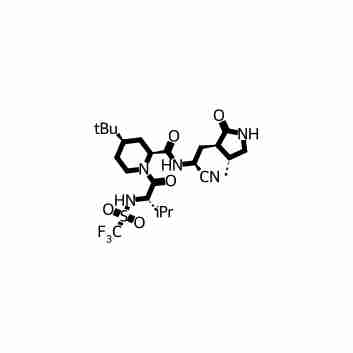 CC(C)[C@H](NS(=O)(=O)C(F)(F)F)C(=O)N1CC[C@@H](C(C)(C)C)C[C@H]1C(=O)N[C@H](C#N)C[C@H]1C(=O)NC[C@@H]1C